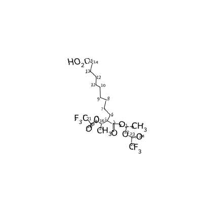 CC(OC(=O)C(CCCCCCCCCC(=O)O)C(C)OC(=O)C(F)(F)F)OC(=O)C(F)(F)F